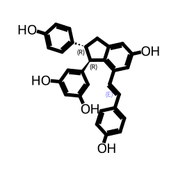 Oc1ccc(/C=C/c2cc(O)cc3c2[C@@H](c2cc(O)cc(O)c2)[C@H](c2ccc(O)cc2)C3)cc1